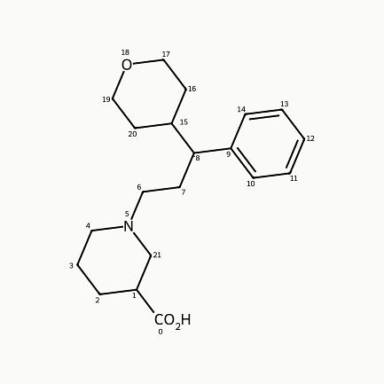 O=C(O)C1CCCN(CC[C](c2ccccc2)C2CCOCC2)C1